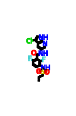 CCCS(=O)(=O)Nc1ccc(F)c(C(=O)Nc2cnc3[nH]cc(Cl)c3c2)c1F